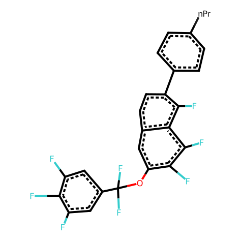 CCCc1ccc(-c2ccc3cc(OC(F)(F)c4cc(F)c(F)c(F)c4)c(F)c(F)c3c2F)cc1